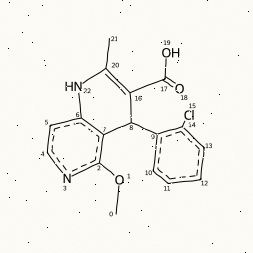 COc1nccc2c1C(c1ccccc1Cl)C(C(=O)O)=C(C)N2